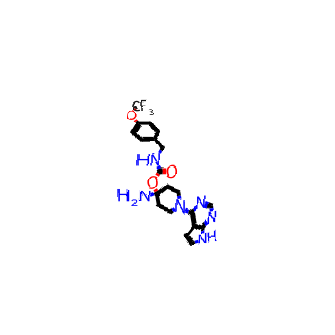 NC1(OC(=O)NCc2ccc(OC(F)(F)F)cc2)CCN(c2ncnc3[nH]ccc23)CC1